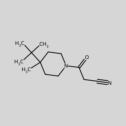 CC(C)(C)C1(C)CCN(C(=O)CC#N)CC1